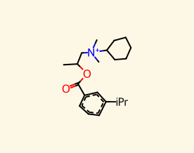 CC(C[N+](C)(C)C1CCCCC1)OC(=O)c1cccc(C(C)C)c1